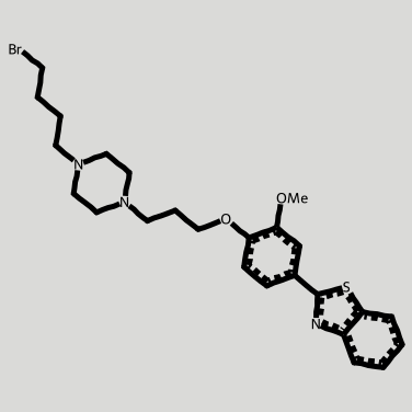 COc1cc(-c2nc3ccccc3s2)ccc1OCCCN1CCN(CCCCBr)CC1